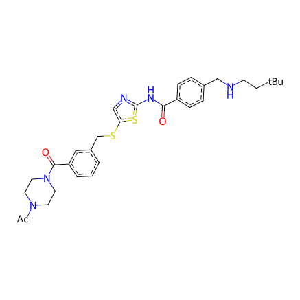 CC(=O)N1CCN(C(=O)c2cccc(CSc3cnc(NC(=O)c4ccc(CNCCC(C)(C)C)cc4)s3)c2)CC1